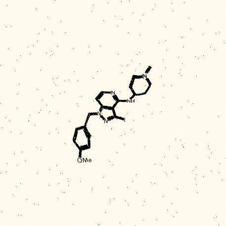 COc1ccc(Cn2nc(I)c3c(NC4CCN(C)CC4)nccc32)cc1